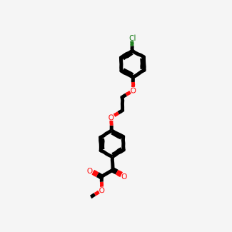 COC(=O)C(=O)c1ccc(OCCOc2ccc(Cl)cc2)cc1